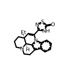 CC[C@@]12C=C(c3nsc(=O)[nH]3)n3c4c(c5ccccc53)CCN(CCC1)[C@H]42